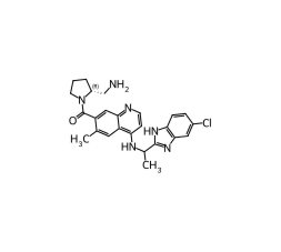 Cc1cc2c(NC(C)c3nc4cc(Cl)ccc4[nH]3)ccnc2cc1C(=O)N1CCC[C@@H]1CN